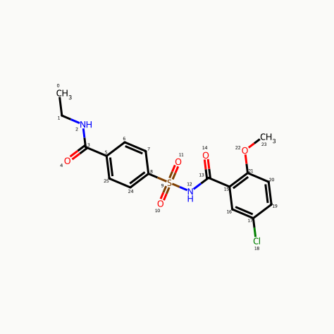 CCNC(=O)c1ccc(S(=O)(=O)NC(=O)c2cc(Cl)ccc2OC)cc1